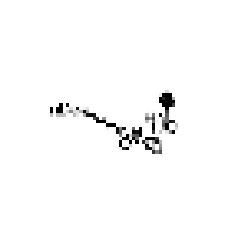 CCCCCCCCCCCCCCCCCNC(=O)OC[C@@H]1CO[C@@H](COC(=O)NCc2ccccn2)C1